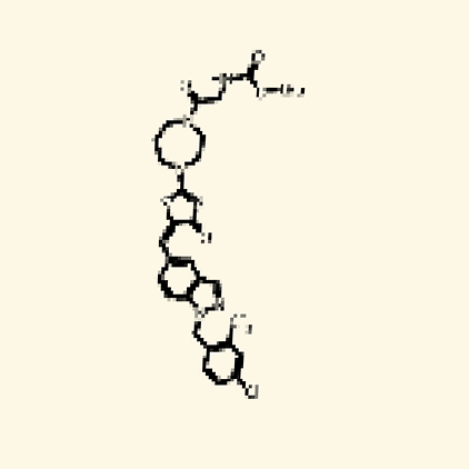 CC(C)(C)OC(=O)NCC(=O)N1CCCN(C2=NC(=O)C(=Cc3ccc4c(cnn4Cc4ccc(Cl)cc4C(F)(F)F)c3)S2)CC1